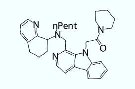 CCCCCN(Cc1nccc2c3ccccc3n(CC(=O)N3CCCCC3)c12)C1CCCc2cccnc21